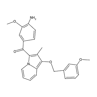 COc1cccc(COc2c(C)c(C(=O)c3ccc(N)c(OC)c3)n3ccccc23)c1